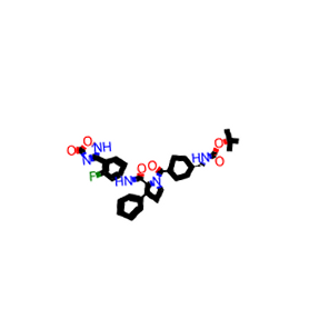 CC(C)(C)OC(=O)NC[C@H]1CC[C@H](C(=O)N2CC[C@@H](c3ccccc3)[C@H]2C(=O)Nc2ccc(-c3nc(=O)o[nH]3)c(F)c2)CC1